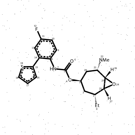 CC[C@@H]1C[C@@H](OC(=O)Nc2ccc(F)cc2-c2cccs2)C[C@H](NC)[C@@H]2O[C@H]12